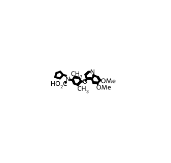 COc1cc2nccc(Oc3cc(C)c(N(CC4CCCC4)C(=O)O)cc3C)c2cc1OC